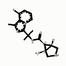 Cc1nc(C(C)(C)NC(=O)[C@H]2[C@@H]3CNC[C@@]32N)n2cccc(F)c12